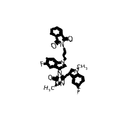 Cn1nc(-c2cn(C)c3ccc(F)cc23)n(-c2cn(CCCN3C(=O)c4ccccc4C3=O)c3ccc(F)cc23)c1=O